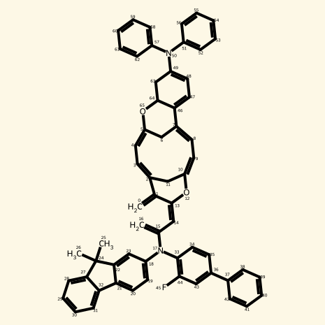 C=C1/C2=C/C=C3\C/C(=C\C=C(/C2)O/C1=C/C(=C)N(c1ccc2c(c1)C(C)(C)c1ccccc1-2)c1ccc(-c2ccccc2)cc1F)C1=CC=C(N(c2ccccc2)c2ccccc2)CC1O3